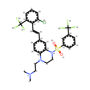 CN(C)CCN1CCN(S(=O)(=O)c2cccc(C(F)(F)F)c2)c2cc(/C=C/c3c(Cl)cccc3C(F)(F)F)ccc21